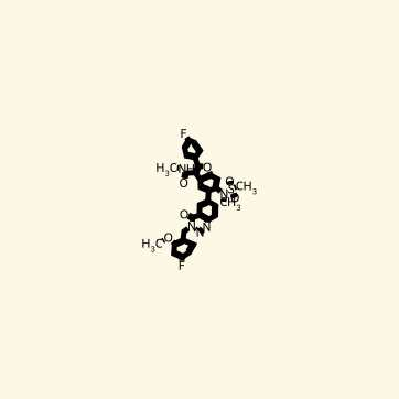 CNC(=O)c1c(-c2ccc(F)cc2)oc2cc(N(C)S(C)(=O)=O)c(-c3ccc4nnn(Cc5ccc(F)cc5OC)c(=O)c4c3)cc12